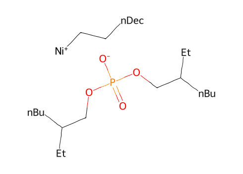 CCCCC(CC)COP(=O)([O-])OCC(CC)CCCC.CCCCCCCCCCC[CH2][Ni+]